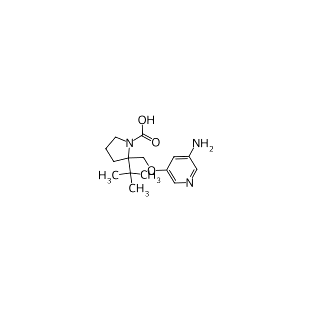 CC(C)(C)C1(COc2cncc(N)c2)CCCN1C(=O)O